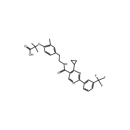 Cc1cc(CCNC(=O)c2cnc(-c3cccc(C(F)(F)F)c3)nc2C2CC2)ccc1OC(C)(C)C(=O)O